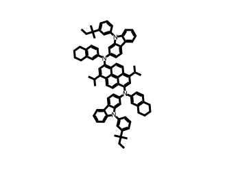 CCC(C)(C)c1cccc(-n2c3ccccc3c3ccc(N(c4ccc5c(c4)CCCC5)c4cc(C(C)C)c5ccc6c(N(c7ccc8c(c7)CCCC8)c7ccc8c9ccccc9n(-c9cccc(C(C)(C)CC)c9)c8c7)cc(C(C)C)c7ccc4c5c76)cc32)c1